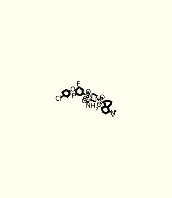 CN(C)c1cccc2c(S(=O)(=O)N3CCN(S(=O)(=O)c4cc(F)c(Oc5ccc(Cl)cc5)c(F)c4)[C@@H](C(N)=O)C3)cccc12